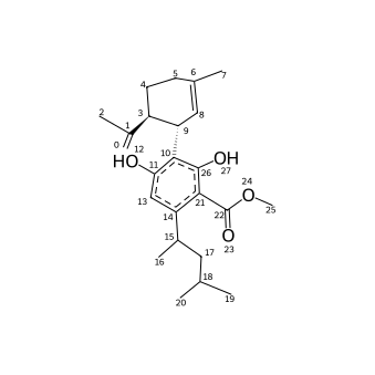 C=C(C)[C@H]1CCC(C)=C[C@@H]1c1c(O)cc(C(C)CC(C)C)c(C(=O)OC)c1O